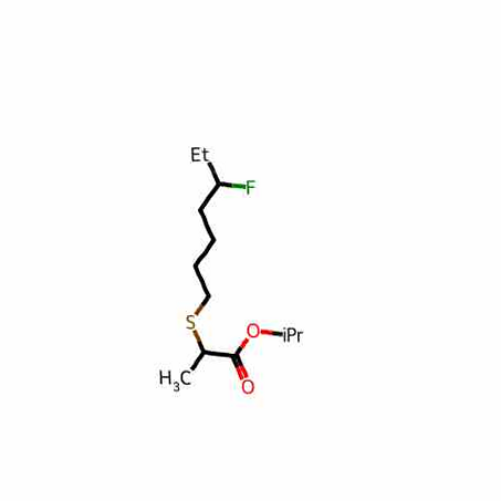 CCC(F)CCCCSC(C)C(=O)OC(C)C